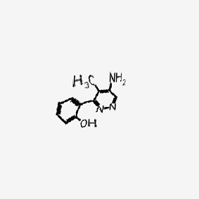 Cc1c(N)cnnc1-c1ccccc1O